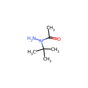 CC(=O)N(N)C(C)(C)C